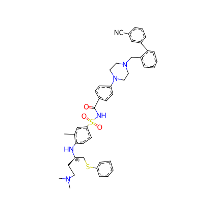 Cc1cc(S(=O)(=O)NC(=O)c2ccc(N3CCN(Cc4ccccc4-c4cccc(C#N)c4)CC3)cc2)ccc1N[C@H](CCN(C)C)CSc1ccccc1